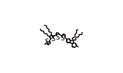 CCCCCCc1c(-c2ccc(C)s2)sc(-c2ccc(-c3ccc(-c4ccc5c(c4)C(CCCCCC)(CCCCCC)c4cc(C)ccc4-5)s3)s2)c1CCCCCC